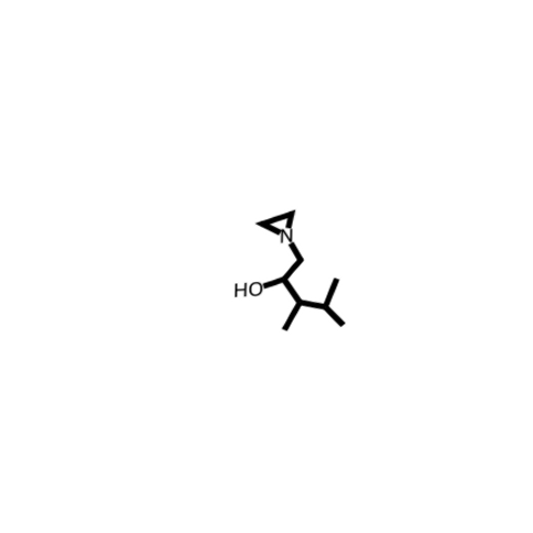 CC(C)C(C)C(O)CN1CC1